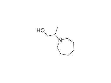 CC(CO)N1CCCCCC1